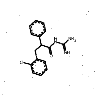 N=C(N)NC(=O)C(Cc1ccccc1Cl)c1ccccc1